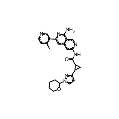 Cc1ccncc1-c1cc2cc(NC(=O)C3CC3c3ccn(C4CCCCO4)n3)ncc2c(N)n1